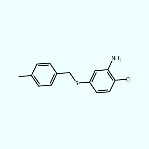 Cc1ccc(CSc2ccc(Cl)c(N)c2)cc1